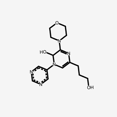 OCCCC1=CN(c2cncnc2)C(O)C(N2CCOCC2)=N1